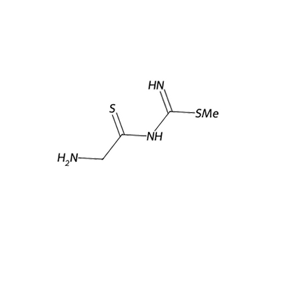 CSC(=N)NC(=S)CN